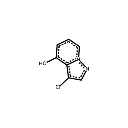 Oc1cccn2ncc(Cl)c12